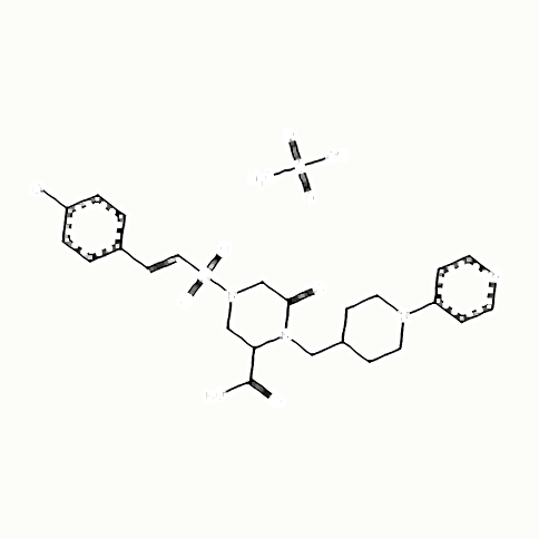 CS(=O)(=O)O.O=C(O)C1CN(S(=O)(=O)C=Cc2ccc(Cl)cc2)CC(=O)N1CC1CCN(c2ccncc2)CC1